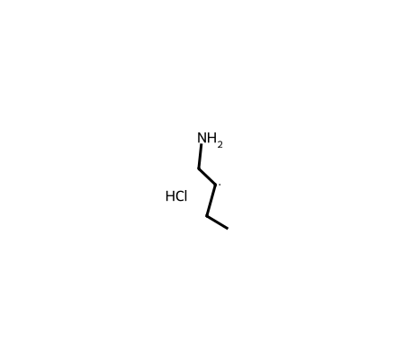 CC[CH]CN.Cl